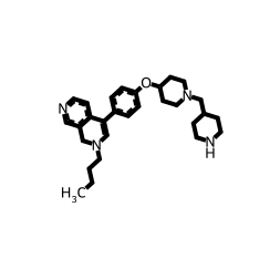 CCCCN1C=C(c2ccc(OC3CCN(CC4CCNCC4)CC3)cc2)c2ccncc2C1